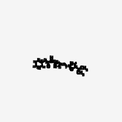 CC(C)c1cnc(C=Cc2cnc(NC(=O)Cc3cccnc3)s2)o1